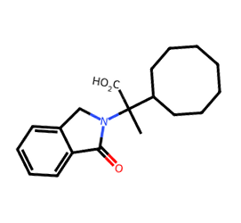 CC(C(=O)O)(C1CCCCCCC1)N1Cc2ccccc2C1=O